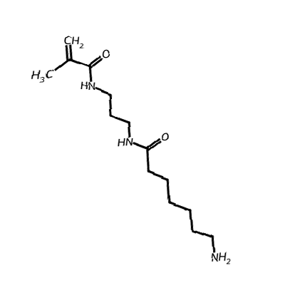 C=C(C)C(=O)NCCCNC(=O)CCCCCCN